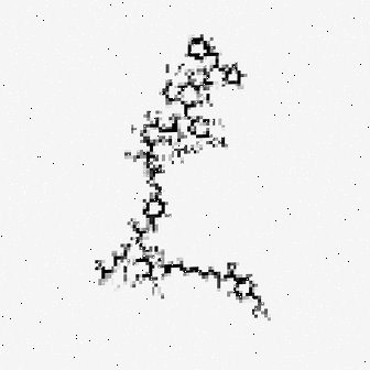 CC[C@H](C)[C@@H]([C@@H](CC(=O)N1CCC[C@H]1[C@H](OC)[C@@H](C)C(=O)N[C@@H](Cc1ccccc1)c1nccs1)OC)N(C)C(=O)[C@@H](NC(=O)C(C)(C)NC(=O)OCc1ccc(NC(=O)[C@H](CCCNC(N)=O)NC(=O)[C@@H](NC(=O)CCCCCNC(=O)c2cnc(SC)nc2)C(C)C)cc1)C(C)C